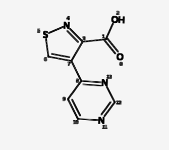 O=C(O)c1nscc1-c1ccncn1